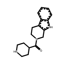 O=C(C1CCNCC1)N1CCc2c([nH]c3ccccc23)C1